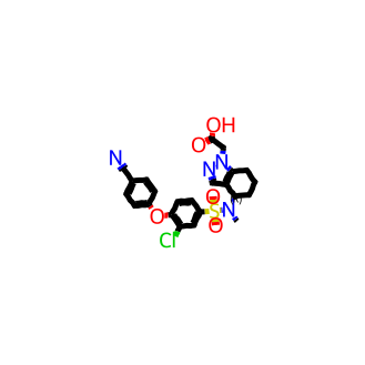 CN([C@@H]1CCCc2c1cnn2CC(=O)O)S(=O)(=O)c1ccc(Oc2ccc(C#N)cc2)c(Cl)c1